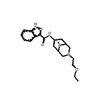 CCOCCN1CC2CC(NC(=O)c3n[nH]c4ccccc34)CC(C1)N2C